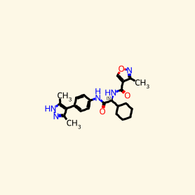 Cc1nocc1C(=O)N[C@H](C(=O)Nc1ccc(-c2c(C)n[nH]c2C)cc1)C1CCCCC1